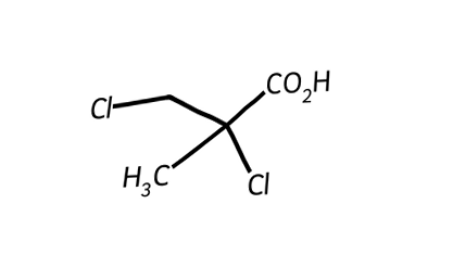 CC(Cl)(CCl)C(=O)O